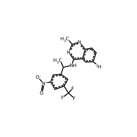 [2H]c1ccc2nc(C)nc(NC(C)c3cc([N+](=O)[O-])cc(C(F)(F)F)c3)c2c1